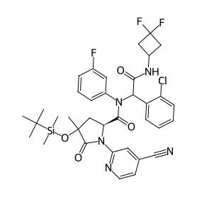 CC1(O[Si](C)(C)C(C)(C)C)C[C@@H](C(=O)N(c2cccc(F)c2)C(C(=O)NC2CC(F)(F)C2)c2ccccc2Cl)N(c2cc(C#N)ccn2)C1=O